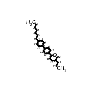 CCCCCCCc1ccc(-c2ccc(C3CCC(CCC)CO3)cc2)cc1